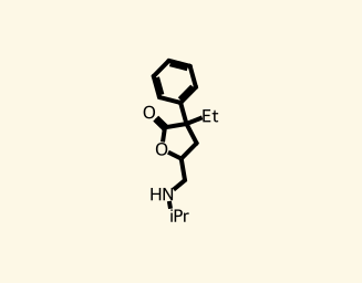 CCC1(c2ccccc2)CC(CNC(C)C)OC1=O